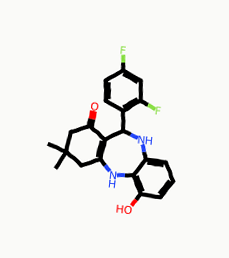 CC1(C)CC(=O)C2=C(C1)Nc1c(O)cccc1NC2c1ccc(F)cc1F